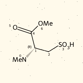 CN[C@@H](CS(=O)(=O)O)C(=O)OC